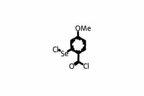 COc1ccc(C(=O)Cl)c([Se]Cl)c1